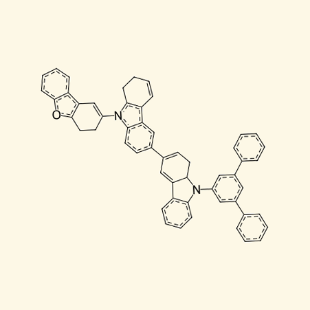 C1=Cc2c(n(C3=Cc4c(oc5ccccc45)CC3)c3ccc(C4=CCC5C(=C4)c4ccccc4N5c4cc(-c5ccccc5)cc(-c5ccccc5)c4)cc23)CC1